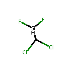 F[SiH](F)C(Cl)Cl